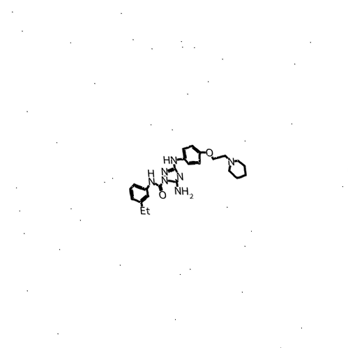 CCc1cccc(NC(=O)n2nc(Nc3ccc(OCCN4CCCCC4)cc3)nc2N)c1